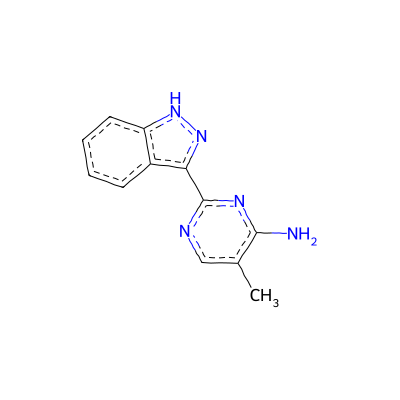 Cc1cnc(-c2n[nH]c3ccccc23)nc1N